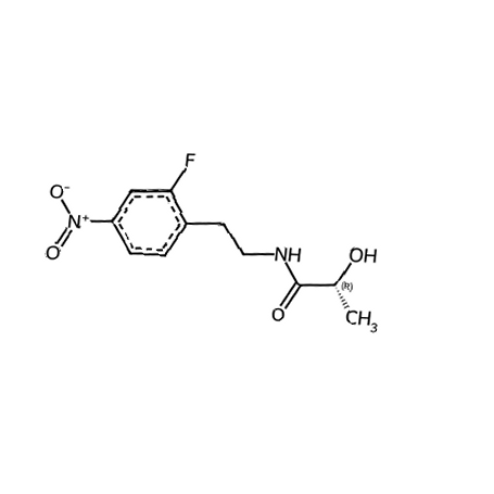 C[C@@H](O)C(=O)NCCc1ccc([N+](=O)[O-])cc1F